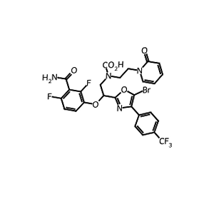 NC(=O)c1c(F)ccc(OC(CN(CCn2ccccc2=O)C(=O)O)c2nc(-c3ccc(C(F)(F)F)cc3)c(Br)o2)c1F